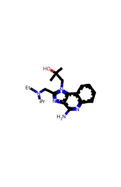 CCN(Cc1nc2c(N)nc3ccccc3c2n1CC(C)(C)O)C(C)C